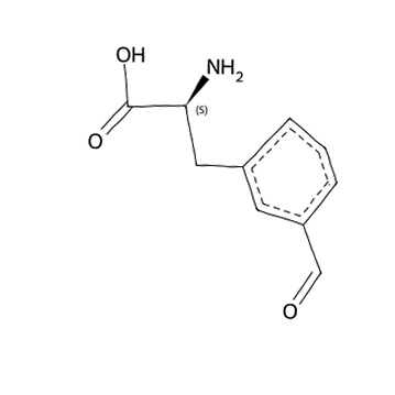 N[C@@H](Cc1cccc(C=O)c1)C(=O)O